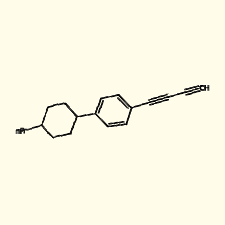 C#CC#Cc1ccc(C2CCC(CCC)CC2)cc1